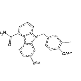 CCCCc1c[c]c2c3c(C(N)=O)cccc3n(Cc3ccc(OC)c(C)c3)c2c1